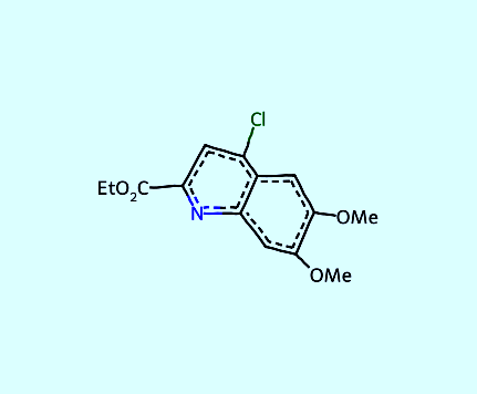 CCOC(=O)c1cc(Cl)c2cc(OC)c(OC)cc2n1